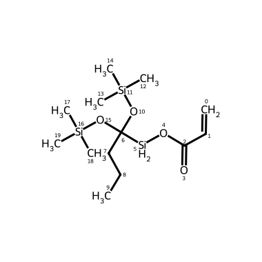 C=CC(=O)O[SiH2]C(CCC)(O[Si](C)(C)C)O[Si](C)(C)C